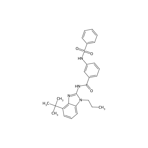 CCCn1c(NC(=O)c2cccc(NS(=O)(=O)c3ccccc3)c2)nc2c(C(C)(C)C)cccc21